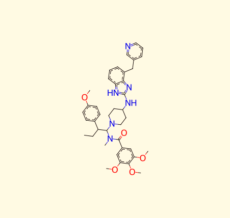 CCC(c1ccc(OC)cc1)C(N1CCC(Nc2nc3c(Cc4cccnc4)cccc3[nH]2)CC1)N(C)C(=O)c1cc(OC)c(OC)c(OC)c1